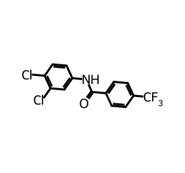 O=C(Nc1ccc(Cl)c(Cl)c1)c1ccc(C(F)(F)F)cc1